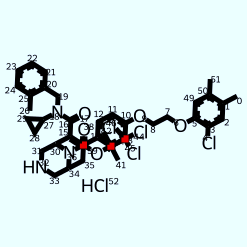 Cc1cc(Cl)c(OCCOc2ccc(C3=C(C(=O)N(Cc4ccccc4C)C4CC4)C4CNCC(C3)N4C(=O)OC(C)(C)C(Cl)(Cl)Cl)cc2)cc1C.Cl